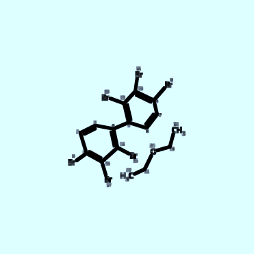 Brc1ccc(-c2ccc(Br)c(Br)c2Br)c(Br)c1Br.CCOCC